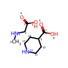 CNCC(=O)O.O=C(O)C1CCNCC1